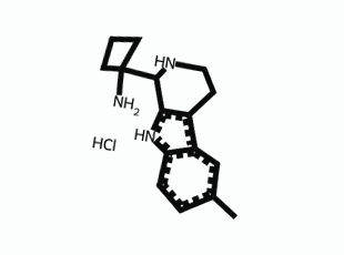 Cc1ccc2[nH]c3c(c2c1)CCNC3C1(N)CCC1.Cl